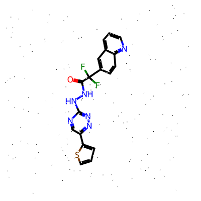 O=C(NNc1ncc(-c2cccs2)nn1)C(F)(F)c1ccc2ncccc2c1